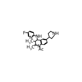 CC(=O)N1c2ccc(C3CCNCC3)cc2C(Nc2ccc(F)cn2)C(C)[C@@H]1C